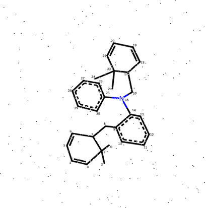 CC1(C)C=CC=CC1Cc1ccccc1N(CC1C=CC=CC1(C)C)c1ccccc1